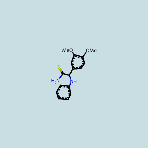 COc1ccc(C(Nc2ccccc2)C(N)=S)cc1OC